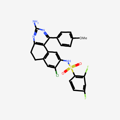 COc1ccc(-c2nc(N)nc3c2-c2cc(NS(=O)(=O)c4ccc(F)cc4F)c(Cl)cc2CC3)cc1